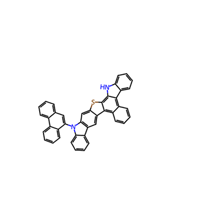 c1ccc2c(c1)cc(-n1c3ccccc3c3cc4c(cc31)sc1c3[nH]c5ccccc5c3c3ccccc3c41)c1ccccc12